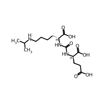 CC(C)NCCCC[C@@H](NC(=O)N[C@H](CCC(=O)O)C(=O)O)C(=O)O